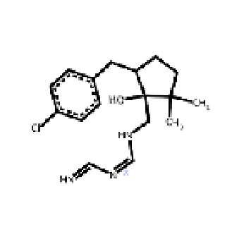 CC1(C)CCC(Cc2ccc(Cl)cc2)C1(O)CN/C=N\C=N